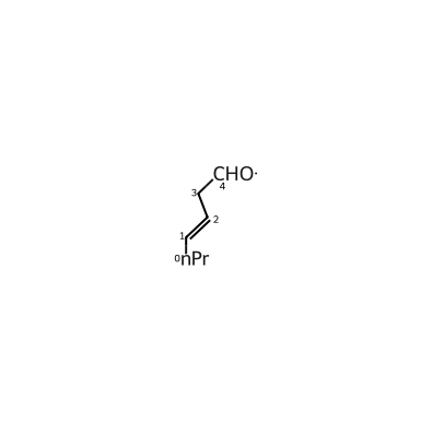 CCCC=CC[C]=O